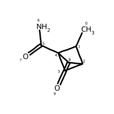 CC1C2CC1(C(N)=O)C2=O